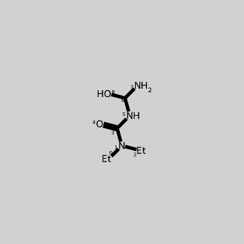 CCN(CC)C(=O)NC(N)O